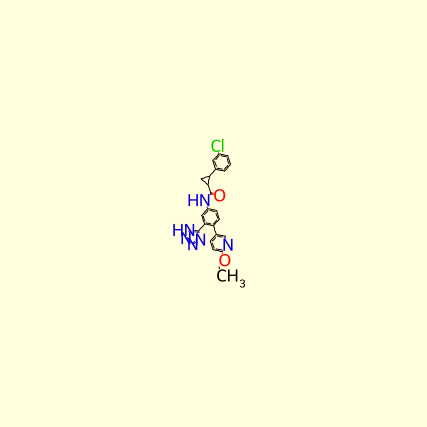 CCOc1ccc(-c2ccc(NC(=O)C3CC3c3cccc(Cl)c3)cc2-c2nnn[nH]2)cn1